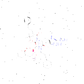 COC(=O)C(CC(C)C)C[PH](=O)OC(CC1CCCCC1)NC(=O)[C@H](Cc1c[nH]c(N)n1)N(C(=O)CCCc1ccccc1)C(=O)OC(C)(C)C